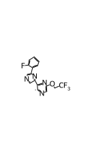 Fc1ccccc1-c1cncc(-c2[c]ncc(OCC(F)(F)F)n2)n1